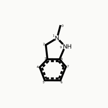 CN1Cc2ccccc2N1